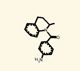 CC1CCc2ccccc2N1C(=O)c1ccc(N)cc1